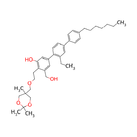 CCCCCCCc1ccc(-c2ccc(-c3cc(O)c(CCOCC4(C)COC(C)(C)OC4)c(CO)c3)c(CC)c2)cc1